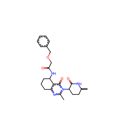 C=C1CCC(n2c(C)nc3c(c2=O)C(NC(=O)COCc2ccccc2)CCC3)C(=O)N1